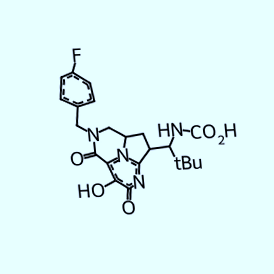 CC(C)(C)C(NC(=O)O)C1CC2CN(Cc3ccc(F)cc3)C(=O)c3c(O)c(=O)nc1n32